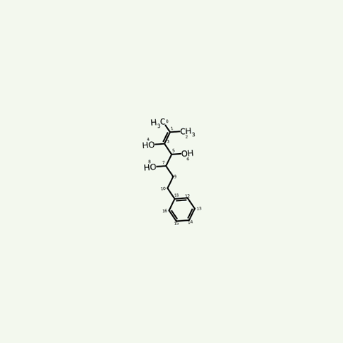 CC(C)=C(O)C(O)C(O)CCc1ccccc1